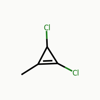 CC1=C(Cl)C1Cl